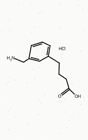 Cl.NCc1cccc(CCCC(=O)O)c1